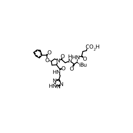 CC[C@H](C)[C@H](NC(=O)CCC(=O)O)C(=O)NCC(=O)N1C[C@H](OC(=O)c2ccccc2)CC1C(=O)NCc1nn[nH]n1